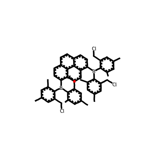 Cc1cc(C)c(B(c2c(C)cc(C)cc2CCl)c2ccc3ccc4ccc(B(c5c(C)cc(C)cc5CCl)c5c(C)cc(C)cc5CCl)c5ccc2c3c45)c(CCl)c1